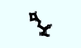 CNC(=O)CCC1CCC1